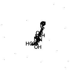 O=C(Nc1ncnc2c1ncn2C1CC(O)C(CO)O1)OCCSSc1ccccn1